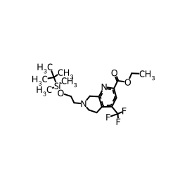 CCOC(=O)c1cc(C(F)(F)F)c2c(n1)CN(CCO[Si](C)(C)C(C)(C)C)CC2